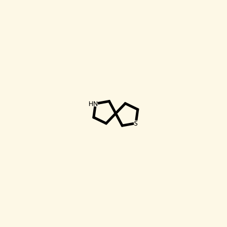 C1CC2(CCSC2)CN1